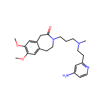 COc1cc2c(cc1OC)CC(=O)N(CCCN(C)CCc1cc(N)ccn1)CC2